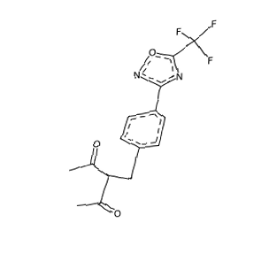 CC(=O)C(Cc1ccc(-c2noc(C(F)(F)F)n2)cc1)C(C)=O